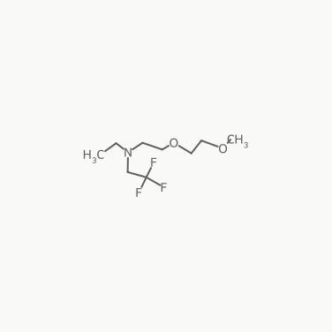 CCN(CCOCCOC)CC(F)(F)F